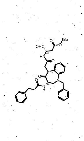 CC(C)(C)OC(=O)C[C@@H](C=O)NC(=O)CN1C(=O)[C@@H](NC(=O)CCc2ccccc2)CN(Cc2ccccc2)c2ccccc21